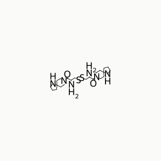 N[C@@H](CSSC[C@H](N)C(=O)N1CCC2(CCCN2)CC1)C(=O)N1CCC2(CCCN2)CC1